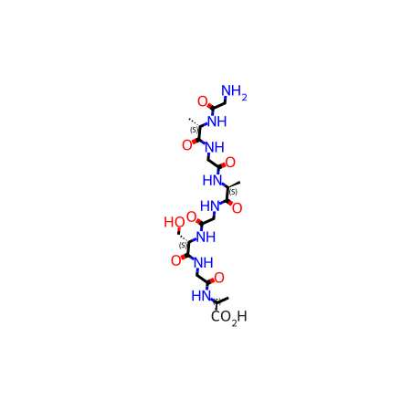 C[C@H](NC(=O)CNC(=O)[C@H](CO)NC(=O)CNC(=O)[C@H](C)NC(=O)CNC(=O)[C@H](C)NC(=O)CN)C(=O)O